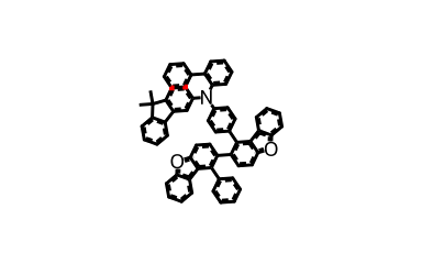 CC1(C)c2ccccc2-c2cc(N(c3ccc(-c4c(-c5ccc6oc7ccccc7c6c5-c5ccccc5)ccc5oc6ccccc6c45)cc3)c3ccccc3-c3ccccc3)ccc21